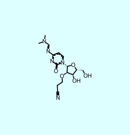 CN(C)C=Nc1ccn([C@@H]2O[C@H](CO)[C@@H](O)[C@H]2OCCC#N)c(=O)n1